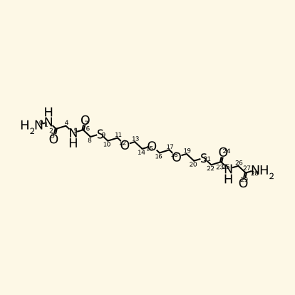 NNC(=O)CNC(=O)CSCCOCCOCCOCCSCC(=O)NCC(N)=O